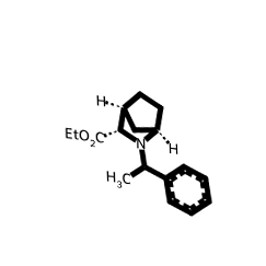 CCOC(=O)[C@@H]1[C@H]2CC[C@H](C2)N1C(C)c1ccccc1